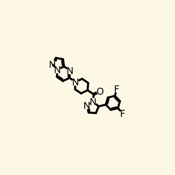 O=C(C1CCN(c2ccn3nccc3n2)CC1)N1N=CCC1c1cc(F)cc(F)c1